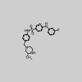 C[C@H]1CN(Cc2ccc(NS(=O)(=O)c3ccc(Nc4cccc(F)c4)nc3)cc2)CCN1